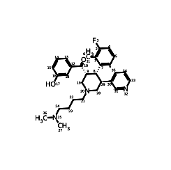 Cc1c(F)cccc1[C@H]1[C@@H](C(=O)c2cccc(O)c2)CN(CCCCN(C)C)C[C@@H]1c1[c]nccc1